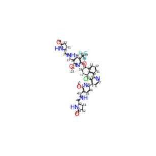 COc1nc(-c2ccnc(-c3cccc4c3CCC[C@H]4Oc3nc(OC)c(CNC[C@@H]4CCC(=O)N4)cc3C(F)(F)F)c2Cl)ccc1CNC[C@H]1CCC(=O)N1